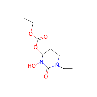 CCOC(=O)OC1CCN(CC)C(=O)N1O